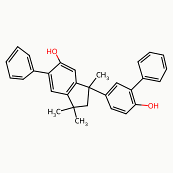 CC1(C)CC(C)(c2ccc(O)c(-c3ccccc3)c2)c2cc(O)c(-c3ccccc3)cc21